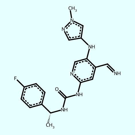 C[C@@H](NC(=O)Nc1cc(C=N)c(Nc2cnn(C)c2)cn1)c1ccc(F)cc1